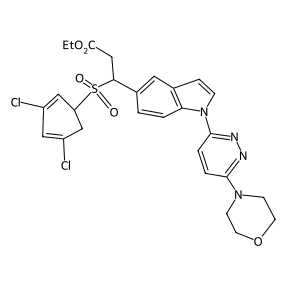 CCOC(=O)CC(c1ccc2c(ccn2-c2ccc(N3CCOCC3)nn2)c1)S(=O)(=O)C1C=C(Cl)C=C(Cl)C1